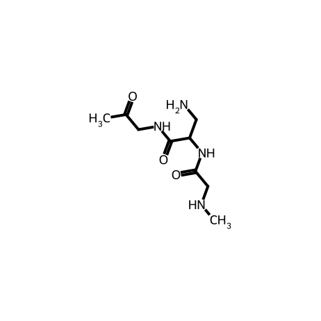 CNCC(=O)NC(CN)C(=O)NCC(C)=O